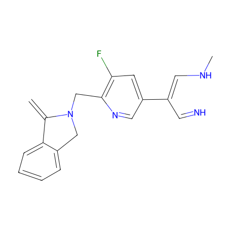 C=C1c2ccccc2CN1Cc1ncc(/C(C=N)=C/NC)cc1F